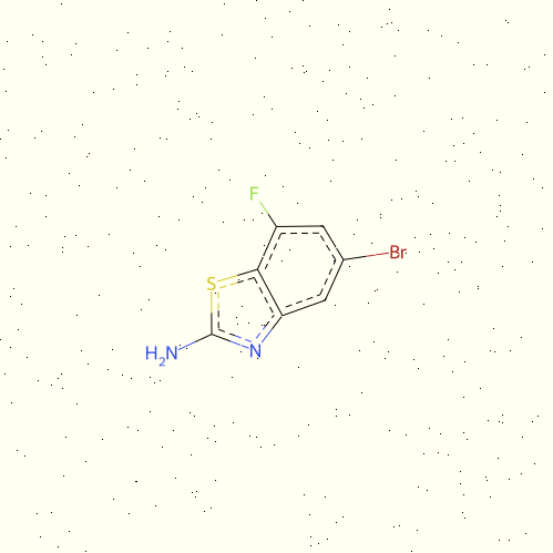 Nc1nc2cc(Br)cc(F)c2s1